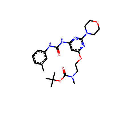 Cc1cccc(NC(=O)Nc2cc(OCCN(C)C(=O)OC(C)(C)C)nc(N3CCOCC3)n2)c1